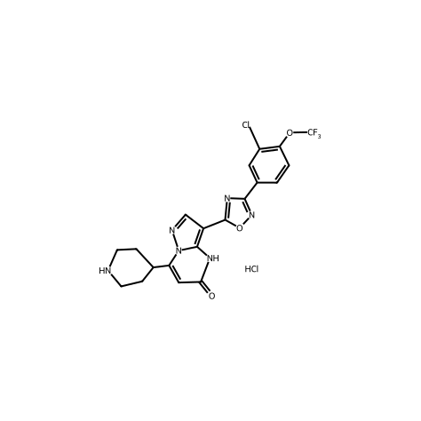 Cl.O=c1cc(C2CCNCC2)n2ncc(-c3nc(-c4ccc(OC(F)(F)F)c(Cl)c4)no3)c2[nH]1